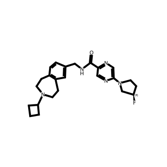 O=C(NCc1ccc2c(c1)CCN(C1CCC1)CC2)c1cnc(N2CC[C@@H](F)C2)cn1